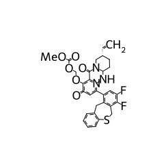 C=C[C@@H]1CCC2Nn3c(-c4cc(F)c(F)c5c4Cc4ccccc4SC5)cc(=O)c(OCOC(=O)OC)c3C(=O)N2C1